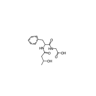 CC(O)CC(=O)NC(Cc1ccccc1)C(=O)NCC(=O)O